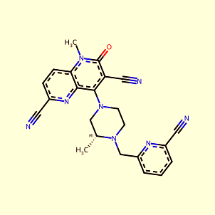 C[C@@H]1CN(c2c(C#N)c(=O)n(C)c3ccc(C#N)nc23)CCN1Cc1cccc(C#N)n1